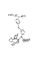 CCCCCCCN(C(=O)Nc1ccccc1OCC)c1cccc(Sc2ccc(C(CC)C(=O)O)cc2)c1